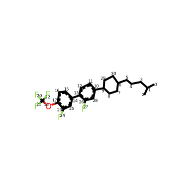 CC(C)CCCC1CCC(c2ccc(-c3ccc(OC(F)(F)F)c(F)c3)c(F)c2)CC1